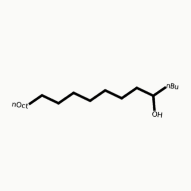 [CH2]CCCC(O)CCCCCCCCCCCCCCC